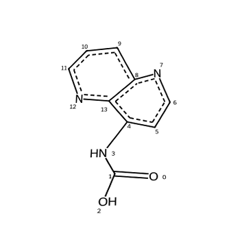 O=C(O)Nc1ccnc2cccnc12